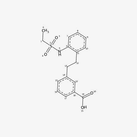 CCS(=O)(=O)Nc1ccccc1CCc1cccc(C(=O)O)c1